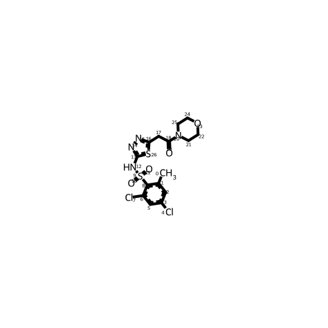 Cc1cc(Cl)cc(Cl)c1S(=O)(=O)Nc1nnc(CC(=O)N2CCOCC2)s1